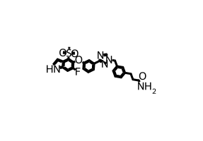 CS(=O)(=O)c1c(Oc2cccc(-c3ncn(Cc4cccc(CCC(N)=O)c4)n3)c2)c(F)cc2[nH]ccc12